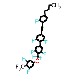 C=CCCc1ccc(C#Cc2cc(F)c(-c3cc(F)c(C(F)(F)Oc4cc(F)c(C(F)(F)F)c(F)c4)c(F)c3)c(F)c2)c(F)c1